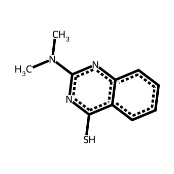 CN(C)c1nc(S)c2ccccc2n1